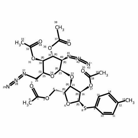 CC(=O)OC[C@H]1O[C@H](Sc2ccc(C)cc2)[C@H](OC(C)=O)[C@@H]1O[C@H]1O[C@@H](CN=[N+]=[N-])[C@@H](OC(C)=O)[C@H](OC(C)=O)[C@H]1N=[N+]=[N-]